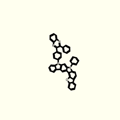 c1ccc(-c2nc3ccccc3nc2-c2ccc(-n3c4ccccc4c4cc5c6c7oc8ccccc8c7ccc6n(-c6ccccc6)c5cc43)cc2)cc1